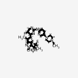 CCN1CCN(c2ccc(Nc3ncc(F)c(-c4sc5c(C(C)(O)C(F)(F)F)n(C)nc5c4C)n3)nc2)CC1